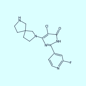 O=c1[nH]c(-c2ccnc(F)c2)nc(N2CCC3(CCNC3)C2)c1Cl